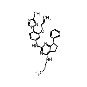 C=CCOc1cc(Nc2nc(NCCC)c3c(n2)C(c2ccccc2)CC3)ccc1-n1cnc(C)n1